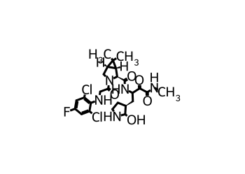 CNC(=O)C(=O)C(C[C@@H]1CCNC1O)NC(=O)[C@@H]1[C@@H]2[C@H](CN1C(=O)CNc1c(Cl)cc(F)cc1Cl)C2(C)C